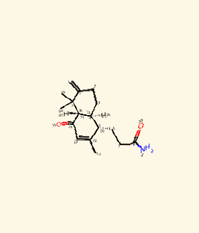 C=C1CC[C@H]2[C@H](CCC(N)=O)C(C)=CC(=O)[C@@H]2C1(C)C